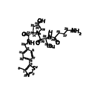 Cc1ncsc1-c1ccc(CNC(=O)[C@@H]2C[C@@H](O)CN2C(=O)C(NC(=O)CCCN)C(C)(C)C)cc1